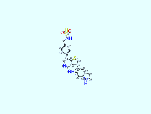 Nc1ncc(-c2ccc(CN[SH](=O)=O)cc2)c2scc(-c3ccc4[nH]ccc4c3)c12